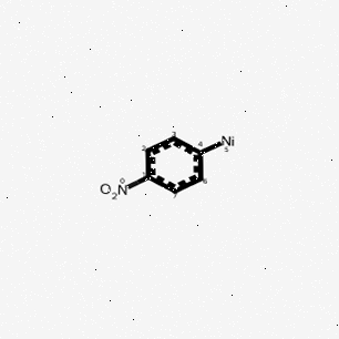 O=[N+]([O-])c1cc[c]([Ni])cc1